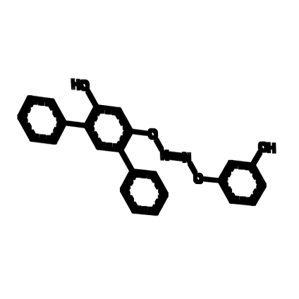 Oc1cccc(ON=NOc2cc(O)c(-c3ccccc3)cc2-c2ccccc2)c1